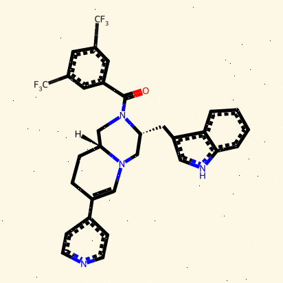 O=C(c1cc(C(F)(F)F)cc(C(F)(F)F)c1)N1C[C@H]2CCC(c3ccncc3)=CN2C[C@H]1Cc1c[nH]c2ccccc12